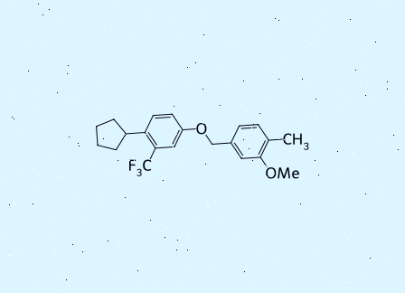 COc1cc(COc2ccc(C3CCCC3)c(C(F)(F)F)c2)ccc1C